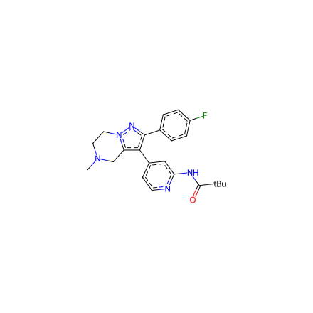 CN1CCn2nc(-c3ccc(F)cc3)c(-c3ccnc(NC(=O)C(C)(C)C)c3)c2C1